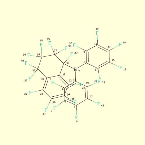 Fc1c(F)c(F)c(B(c2c(F)c(F)c(F)c(F)c2F)C2(F)c3c(F)c(F)c(F)c(F)c3C(F)(F)C(F)(F)C2(F)F)c(F)c1F